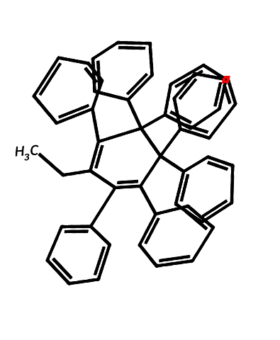 CCC1=C(c2ccccc2)C(c2ccccc2)(c2ccccc2)C(c2ccccc2)(c2ccccc2)C(c2ccccc2)=C1c1ccccc1